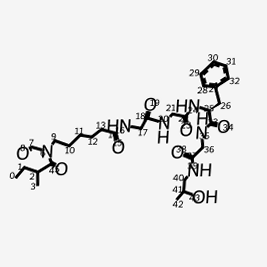 CCC(C)C(=O)N(C=O)CCCCCC(=O)NCC(=O)NCC(=O)N[C@@H](Cc1ccccc1)C(=O)NCC(=O)NCC(C)O